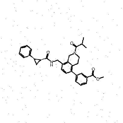 COC(=O)c1cccc(-c2ccc(CNC(=O)[C@H]3C[C@H]3c3ccccc3)c3c2CCN(C(=O)C(C)C)C3)c1